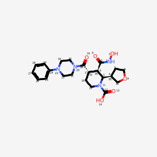 O=C(NO)[C@H]1C([C@H]2CCOC2)N(C(=O)O)CC[C@@H]1C(=O)N1CCN(c2ccccc2)CC1